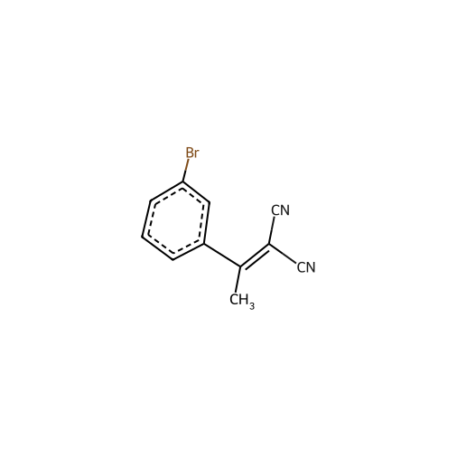 CC(=C(C#N)C#N)c1cccc(Br)c1